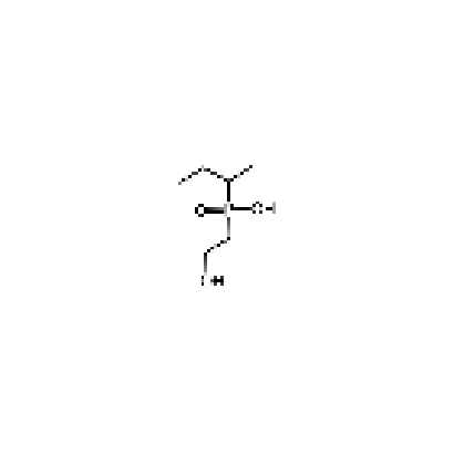 CCC(C)P(=O)(O)CCO